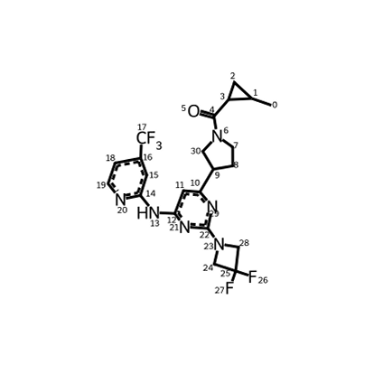 CC1CC1C(=O)N1CCC(c2cc(Nc3cc(C(F)(F)F)ccn3)nc(N3CC(F)(F)C3)n2)C1